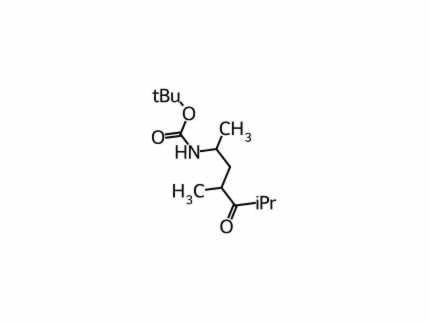 CC(CC(C)C(=O)C(C)C)NC(=O)OC(C)(C)C